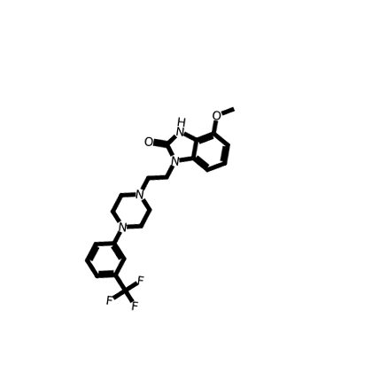 COc1cccc2c1[nH]c(=O)n2CCN1CCN(c2cccc(C(F)(F)F)c2)CC1